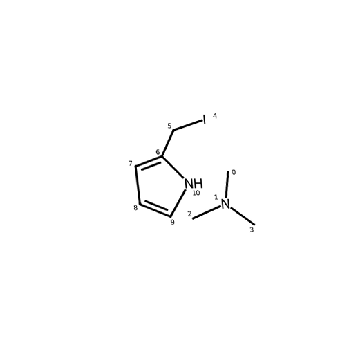 CN(C)C.ICc1ccc[nH]1